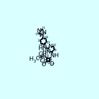 CC(C)(C)Nc1c(Nc2ccnc(Nc3ccc(-n4cncn4)cc3)n2)c(=O)c1=O